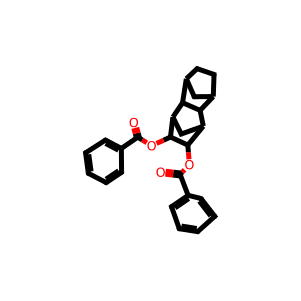 O=C(OC1C2CC(C1OC(=O)c1ccccc1)C1C3CCC(C3)C21)c1ccccc1